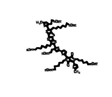 CCCCCCCCCCCCCCCCCc1c(-c2sc(C)cc2CCCCCCCCCCCC)sc2c1sc1c3sc(-c4sc(-c5ccc(C6=C7C(=O)N(CCCCCCCCCCCCCCCC)C(c8ccc(C)s8)=C7C(=O)N6CCCCCCCCCCCCCCCC)s5)cc4CCCCCCCCCCCC)c(CCCCCCCCCCCCCCCCC)c3sc21